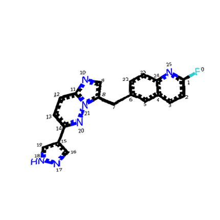 Fc1ccc2cc(Cc3cnc4ccc(-c5cn[nH]c5)nn34)ccc2n1